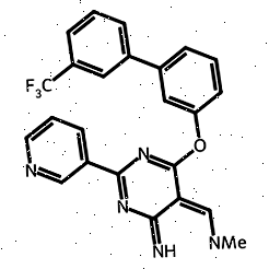 CN/C=C1\C(=N)N=C(c2cccnc2)N=C1Oc1cccc(-c2cccc(C(F)(F)F)c2)c1